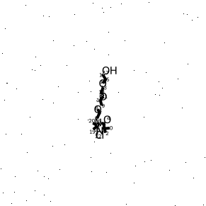 CC1(C)C(=O)N(CCOCCOCCOCCO)C(C)(C)N1Cl